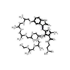 CCN(CC)CCNC(=O)c1c(C)[nH]c(/C=C2\C(=O)Nc3ccc(OCC(C)OCC(C)OCC(C)OCC(C)OCC(C)OCC(C)OCC(C)OCC(C)=O)cc32)c1C